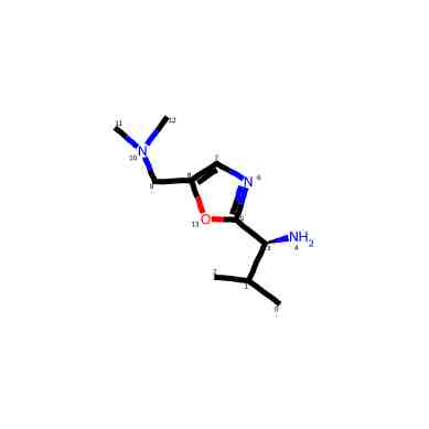 CC(C)[C@H](N)c1ncc(CN(C)C)o1